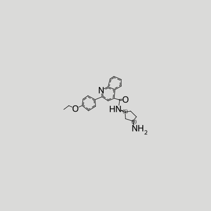 CCOc1ccc(-c2cc(C(=O)N[C@H]3CC[C@@H](N)C3)c3ccccc3n2)cc1